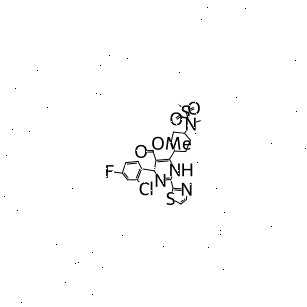 COC(=O)C1=C(C2CCC(N(C)S(C)(=O)=O)CC2)NC(c2nccs2)=NC1c1ccc(F)cc1Cl